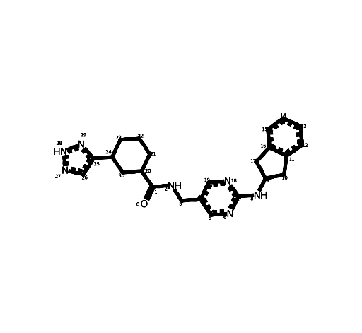 O=C(NCc1cnc(NC2Cc3ccccc3C2)nc1)C1CCCC(c2cn[nH]n2)C1